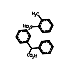 Cc1ccccc1S(=O)(=O)O.O=C(O)C(c1ccccc1)c1ccccc1